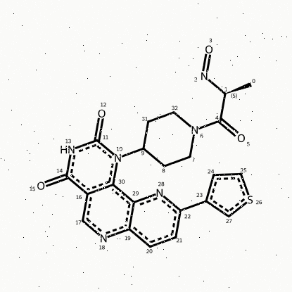 C[C@H](N=O)C(=O)N1CCC(n2c(=O)[nH]c(=O)c3cnc4ccc(-c5ccsc5)nc4c32)CC1